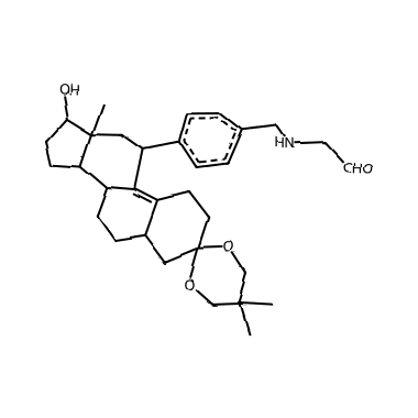 CC1(C)COC2(CCC3=C4C(c5ccc(CNCC=O)cc5)CC5(C)C(O)CCC5C4CCC3C2)OC1